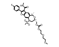 CNC(=O)c1c(-c2ccc(F)cc2)oc2cc3c(cc12)[C@H](C)O[C@H](COC(=O)OCCOCCOC)CN3S(C)(=O)=O